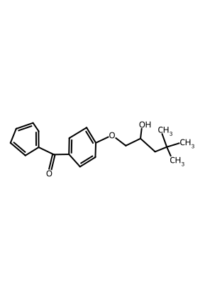 CC(C)(C)CC(O)COc1ccc(C(=O)c2ccccc2)cc1